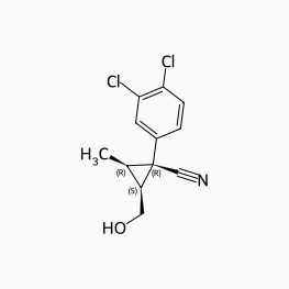 C[C@@H]1[C@H](CO)[C@@]1(C#N)c1ccc(Cl)c(Cl)c1